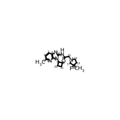 Cc1ccc2nc(NC(=O)CN3CCC(C)(F)C3)n(C3CCC3)c2n1